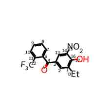 CCc1cc(C(=O)c2ccccc2C(F)(F)F)cc([N+](=O)[O-])c1O